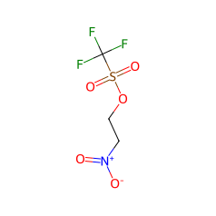 O=[N+]([O-])CCOS(=O)(=O)C(F)(F)F